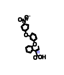 C/C=C(/C(=O)O)c1ccccc1Oc1cccc(Oc2ccc([N+](=O)[O-])cc2)c1